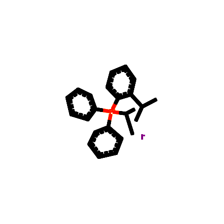 CC(C)c1ccccc1[P+](c1ccccc1)(c1ccccc1)C(C)C.[I-]